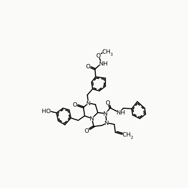 C=CCN1CC(=O)N2C(Cc3ccc(O)cc3)C(=O)N(Cc3cccc(C(=O)NOC)c3)CC2N1C(=O)NCc1ccccc1